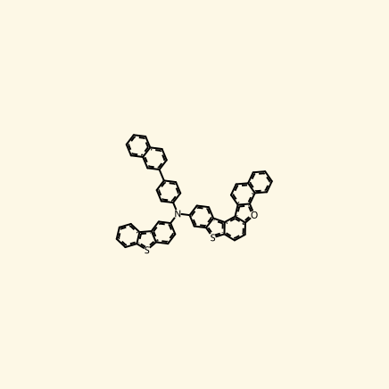 c1ccc2cc(-c3ccc(N(c4ccc5c(c4)sc4ccc6oc7c8ccccc8ccc7c6c45)c4ccc5sc6ccccc6c5c4)cc3)ccc2c1